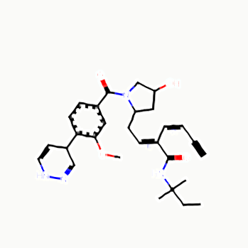 C#C/C=C\C(=C/CC1CC(O)CN1C(=O)c1ccc(C2C=CNN=C2)c(OC)c1)C(=O)NC(C)(C)CC